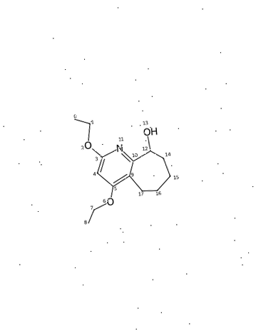 CCOc1cc(OCC)c2c(n1)C(O)CCCC2